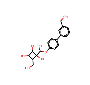 OCc1cccc(-c2ccc(OC(O)C3(O)C(O)C(O)C3CO)cc2)c1